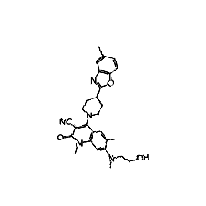 Cc1ccc2oc(C3CCN(c4c(C#N)c(=O)n(C)c5cc(N(C)CCO)c(C)cc45)CC3)nc2c1